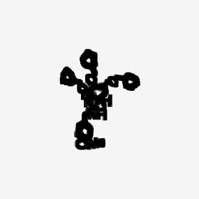 COc1ccc(CNC2=N[C@@H]3[C@@H](OCc4ccccc4)[C@H](OCc4ccccc4)[C@@H](COCc4ccccc4)C[C@@H]3O2)cc1